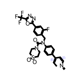 C=N/C=C\C(=C/C)c1ccc(N(Cc2ccc(-c3nnc(C(F)(F)F)o3)cc2F)C(=O)N2CCS(=O)(=O)CC2)cc1